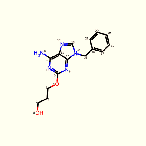 Nc1nc(OCCCO)nc2c1ncn2Cc1ccccc1